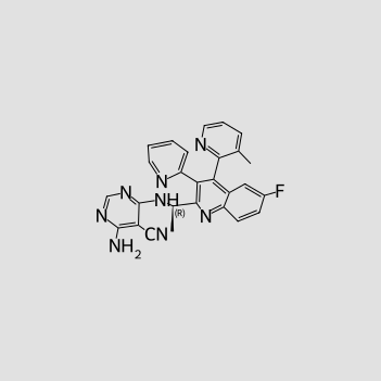 Cc1cccnc1-c1c(-c2ccccn2)c([C@@H](C)Nc2ncnc(N)c2C#N)nc2ccc(F)cc12